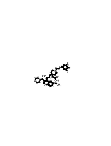 COc1ccc2ncc(CN3CCOCC3)c(C(O)CCC3(CC(=O)O)CCN(CCOc4cc(F)c(F)c(F)c4)CC3)c2c1